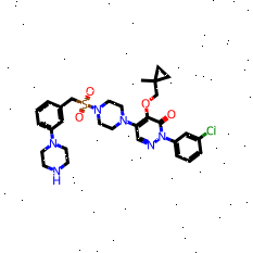 CC1(COc2c(N3CCN(S(=O)(=O)Cc4cccc(N5CCNCC5)c4)CC3)cnn(-c3cccc(Cl)c3)c2=O)CC1